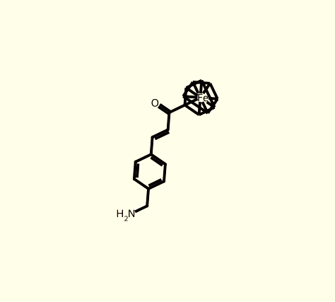 NCc1ccc(C=CC(=O)[C]23[CH]4[CH]5[CH]6[CH]2[Fe]56432789[CH]3[CH]2[CH]7[CH]8[CH]39)cc1